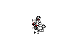 O=C(O)c1cnc2ccc(NC(=O)N3C4CC(OCc5c(-c6c(Cl)cccc6Cl)noc5C5CC5)CC3C4)cc2c1